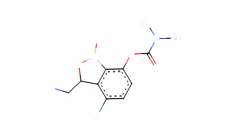 CCCCN(C(=O)Oc1ccc(Cl)c2c1B(O)OC2CN)C(C)(C)C